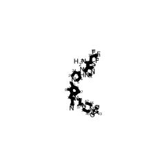 Cc1c(CN2CCC(Nc3ncnc4sc(CC(F)(F)F)c(N)c34)CC2)ccc2c1cc(C#N)n2C[C@H](C)N1CCN(S(C)(=O)=O)CC1